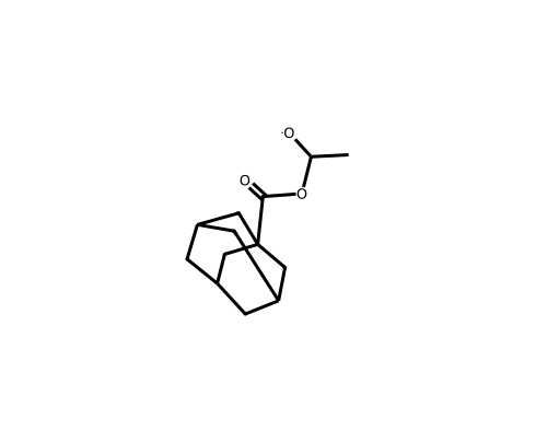 CC([O])OC(=O)C12CC3CC(CC(C3)C1)C2